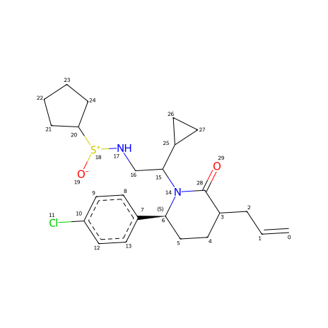 C=CCC1CC[C@@H](c2ccc(Cl)cc2)N(C(CN[S+]([O-])C2CCCC2)C2CC2)C1=O